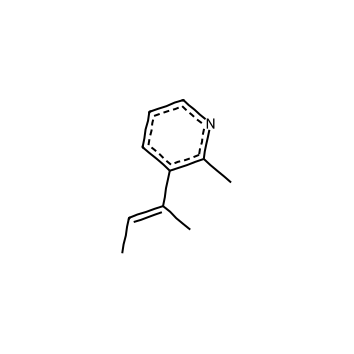 C/C=C(\C)c1cccnc1C